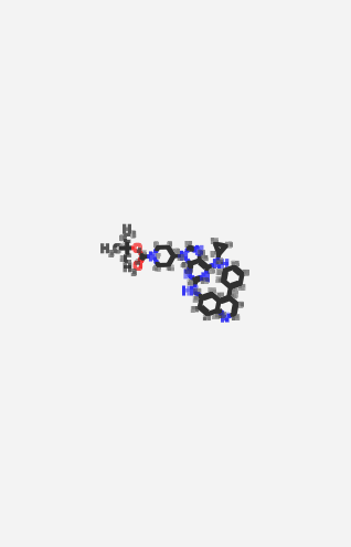 CC(C)(C)OC(=O)N1CCC(n2cnc3c(NC4CC4)nc(Nc4ccc5nccc(-c6ccccc6)c5c4)nc32)CC1